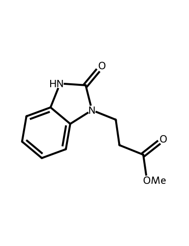 COC(=O)CCn1c(=O)[nH]c2ccccc21